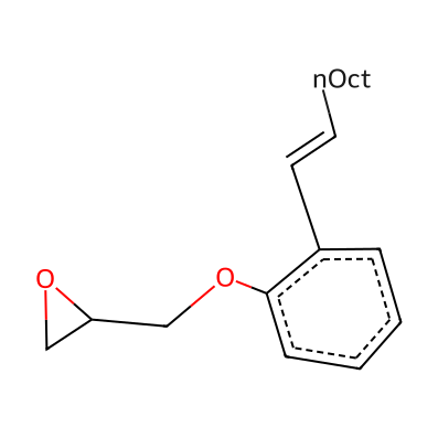 CCCCCCCCC=Cc1ccccc1OCC1CO1